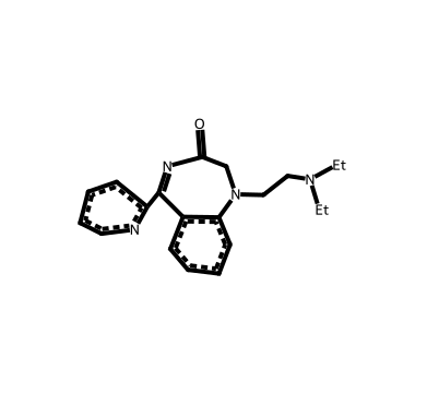 CCN(CC)CCN1CC(=O)N=C(c2ccccn2)c2ccccc21